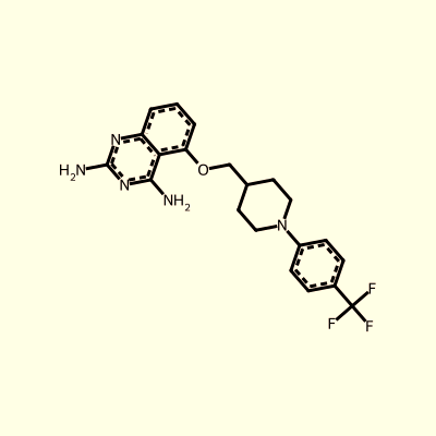 Nc1nc(N)c2c(OCC3CCN(c4ccc(C(F)(F)F)cc4)CC3)cccc2n1